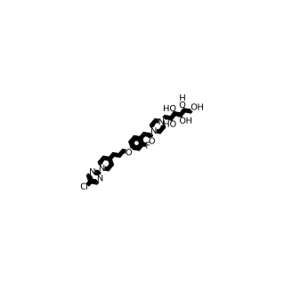 O=C(Cc1ccc(OCCCC2CCN(c3ncc(Cl)cn3)CC2)cc1F)N1CCN(C[C@H](O)[C@@H](O)[C@H](O)[C@H](O)CO)CC1